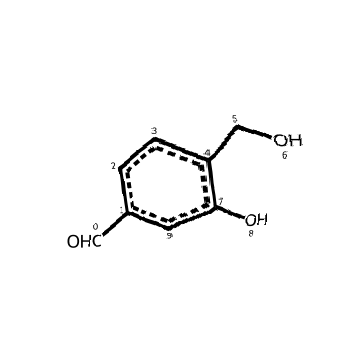 O=Cc1ccc(CO)c(O)c1